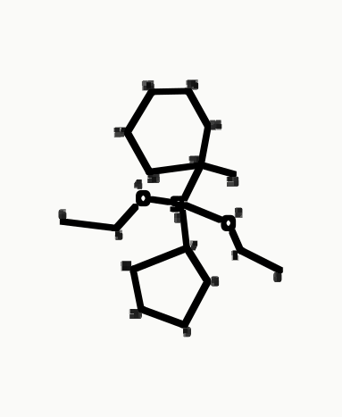 CCO[Si](OCC)(C1CCCC1)C1(C)CCCCC1